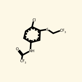 O=C(Nc1ccc(Cl)c(SCC(F)(F)F)c1)C(F)(F)F